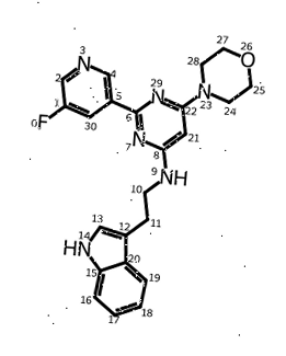 Fc1cncc(-c2nc(NCCc3c[nH]c4ccccc34)cc(N3CCOCC3)n2)c1